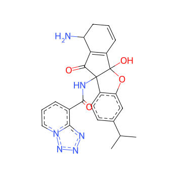 CC(C)c1ccc2c(c1)OC1(O)C3=C(C(=O)C21NC(=O)c1cccn2nnnc12)C(N)CC=C3